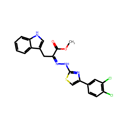 COC(=O)/C(Cc1c[nH]c2ccccc12)=N\Nc1nc(-c2ccc(Cl)c(Cl)c2)cs1